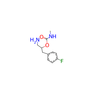 CNC(=O)OC(CN)Cc1ccc(F)cc1